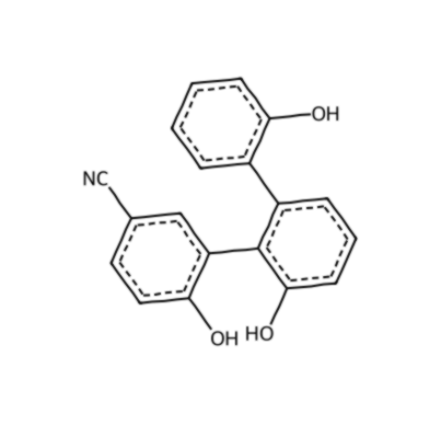 N#Cc1ccc(O)c(-c2c(O)cccc2-c2ccccc2O)c1